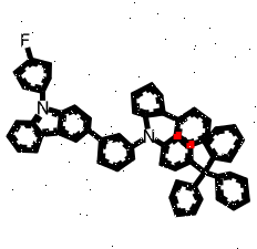 Fc1ccc(-n2c3ccccc3c3cc(-c4cccc(N(c5ccc(C(c6ccccc6)(c6ccccc6)c6ccccc6)cc5)c5ccccc5-c5ccccc5)c4)ccc32)cc1